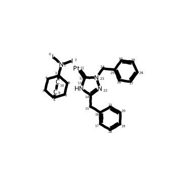 IN(I)C12CCC(CC1)CC2.[Pt]=[c]1[nH]c(Cc2ccccc2)nn1Cc1ccccc1